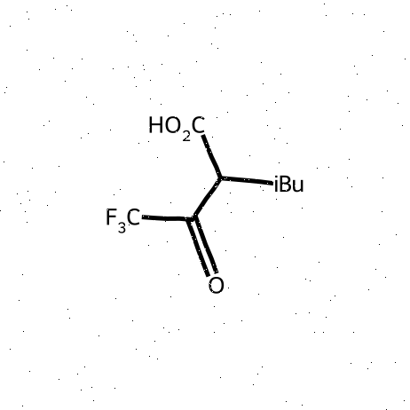 CCC(C)C(C(=O)O)C(=O)C(F)(F)F